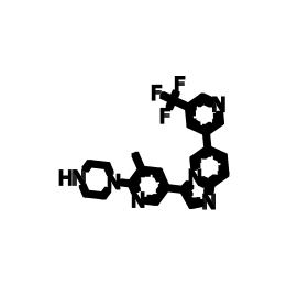 Cc1cc(-c2cnc3ccc(-c4cncc(C(F)(F)F)c4)cn23)cnc1N1CCNCC1